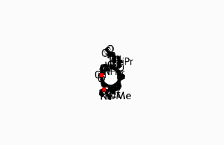 CCn1c(-c2cccnc2[C@H](C)OC)c2c3cc(ccc31)-c1csc(n1)C[C@H](NC(=O)C(C(C)C)N(C)C(=O)N1CC(S(C)(=O)=O)C1)C(=O)N1CCC[C@H](N1)C(=O)OCC(C)(C)C2